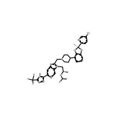 C[C@H](Cn1c(CN2CCC(c3cccc4c3O[C@@](C)(c3ccc(Cl)cn3)O4)CC2)nc2cc(-c3nnc(C(F)(F)F)[nH]3)ncc21)OC(F)F